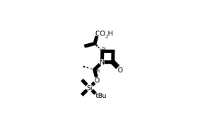 CC(C(=O)O)[C@@H]1CC(=O)N1[C@@H](C)O[Si](C)(C)C(C)(C)C